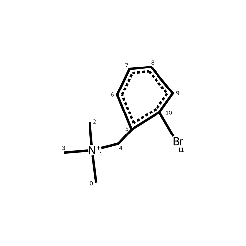 C[N+](C)(C)Cc1ccccc1Br